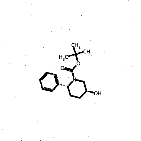 CC(C)(C)OC(=O)N1C[C@@H](O)CC[C@@H]1c1ccccc1